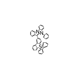 c1ccc(-n2c3ccccc3n3c4ccccc4c(-c4ccc5c(c4)-c4ccccc4[Si]54c5ccccc5-c5ccccc54)c23)cc1